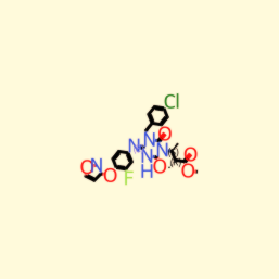 COC(=O)[C@H](C)[C@H](C)n1c(=O)[nH]/c(=N\c2ccc(Oc3ccon3)c(F)c2)n(Cc2ccc(Cl)cc2)c1=O